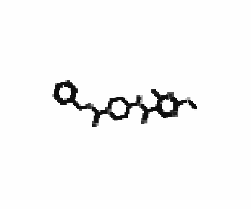 CSc1ncc(C(=O)NC2CCN(C(=O)OCc3ccccc3)CC2)c(C)n1